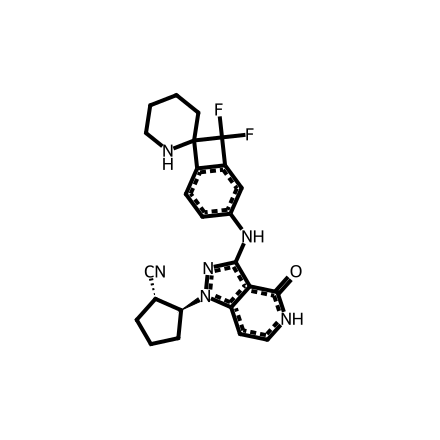 N#C[C@H]1CCC[C@@H]1n1nc(Nc2ccc3c(c2)C(F)(F)C32CCCCN2)c2c(=O)[nH]ccc21